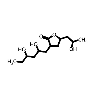 CCC(O)CC(O)CC1CC(CC(C)O)OC1=O